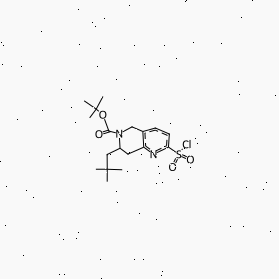 CC(C)(C)CC1Cc2nc(S(=O)(=O)Cl)ccc2CN1C(=O)OC(C)(C)C